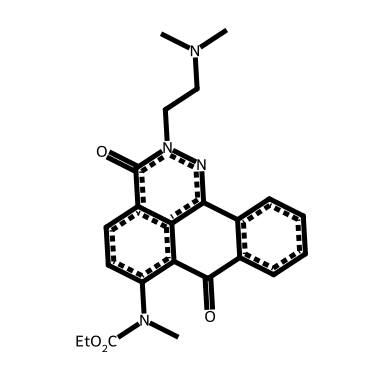 CCOC(=O)N(C)c1ccc2c(=O)n(CCN(C)C)nc3c2c1C(=O)c1ccccc1-3